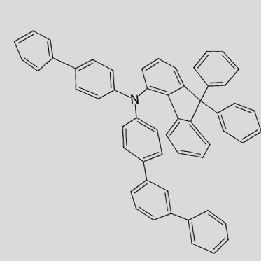 c1ccc(-c2ccc(N(c3ccc(-c4cccc(-c5ccccc5)c4)cc3)c3cccc4c3-c3ccccc3C4(c3ccccc3)c3ccccc3)cc2)cc1